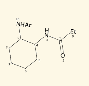 CCC(=O)NC1CCCCC1NC(C)=O